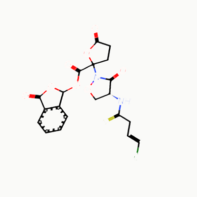 O=C1CCC(C(=O)OC2OC(=O)c3ccccc32)(N2OC[C@H](NC(=S)CC=CCl)C2=O)O1